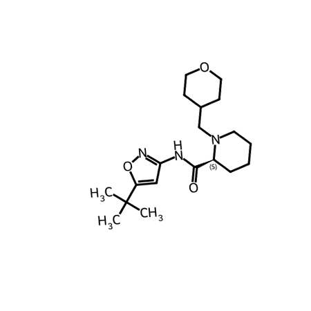 CC(C)(C)c1cc(NC(=O)[C@@H]2CCCCN2CC2CCOCC2)no1